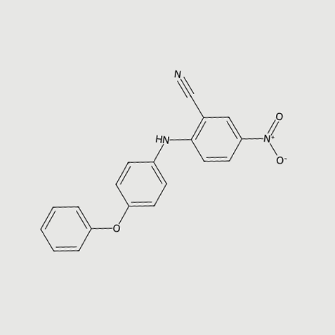 N#Cc1cc([N+](=O)[O-])ccc1Nc1ccc(Oc2ccccc2)cc1